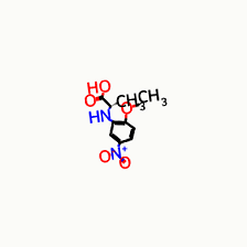 CCOc1ccc([N+](=O)[O-])cc1N[C@@H](C)C(=O)O